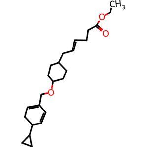 CCOC(=O)CC/C=C/CC1CCC(OCC2=CCC(C3CC3)C=C2)CC1